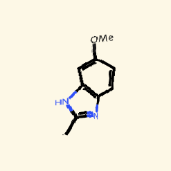 [CH2]c1nc2ccc(OC)cc2[nH]1